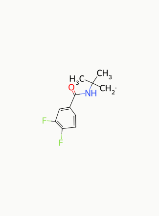 [CH2]C(C)(C)NC(=O)c1ccc(F)c(F)c1